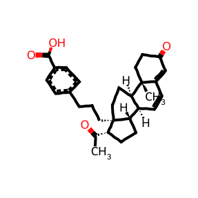 CC(=O)[C@H]1CC[C@H]2[C@@H]3C=CC4=CC(=O)CC[C@@]4(C)[C@@H]3CC[C@]12CCCc1ccc(C(=O)O)cc1